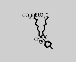 [C-]#[N+]C(CCCCCCCC(=O)OCC)(CCCCCCCC(=O)OCC)S(=O)(=O)c1ccc(C)cc1